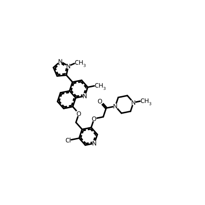 Cc1cc(-c2ccnn2C)c2cccc(OCc3c(Cl)cncc3OCC(=O)N3CCN(C)CC3)c2n1